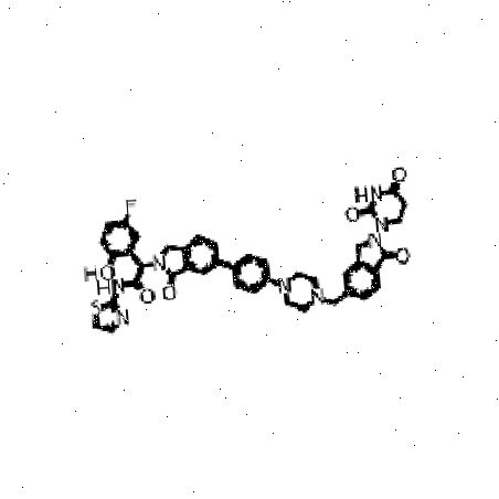 O=C1CCN(N2Cc3cc(CN4CCN(c5ccc(-c6ccc7c(c6)C(=O)N(C(C(=O)Nc6nccs6)c6cc(F)ccc6O)C7)cc5)CC4)ccc3C2=O)C(=O)N1